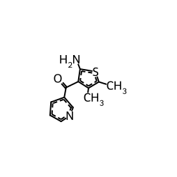 Cc1sc(N)c(C(=O)c2cccnc2)c1C